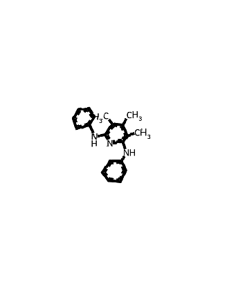 Cc1c(Nc2ccccc2)nc(Nc2ccccc2)c(C)c1C